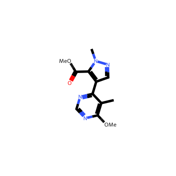 COC(=O)c1c(-c2ncnc(OC)c2C)cnn1C